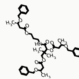 C[C@H](CC(=O)OCCCNC(=O)[C@H](OC(=O)C[C@@H](C)OCc1ccccc1)C(C)(C)COC(=O)C[C@@H](C)OCc1ccccc1)OCc1ccccc1